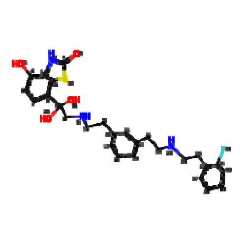 O=c1[nH]c2c(O)ccc(C(O)(O)CNCCc3cccc(CCNCCc4ccccc4F)c3)c2s1